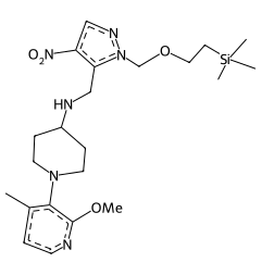 COc1nccc(C)c1N1CCC(NCc2c([N+](=O)[O-])cnn2COCC[Si](C)(C)C)CC1